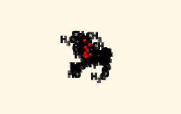 CCO[C@H]1C[C@H]2CN(c3nc(OCC4(CO)CC4)nc4c(F)c(-c5cc(OCOC)cc6cccc(C#C[Si](C(C)C)(C(C)C)C(C)C)c56)ncc34)C[C@@H]1N2C(=O)OC(C)(C)C